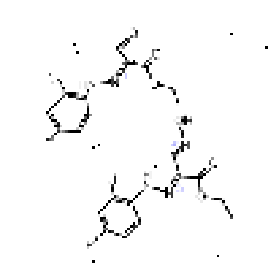 CCOC(=O)/C(C=O)=N/Nc1ccc(F)cc1Cl.CCOC(=O)C(/C=N/O)=N/Nc1ccc(F)cc1Cl